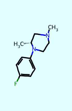 C[C@@H]1CN(C)CCN1c1ccc(F)cc1